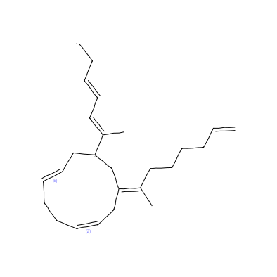 [CH2]CC=CC=C(C)[C]1C/C=C/CC/C=C\CC(=C(C)CCCCC=C)C1